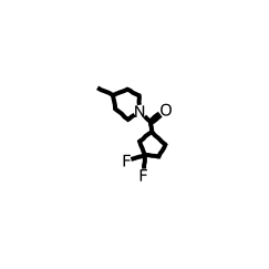 CC1CCN(C(=O)C2CCC(F)(F)C2)CC1